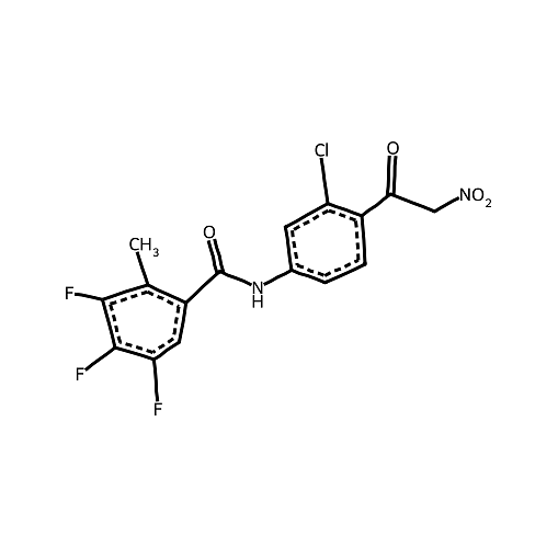 Cc1c(C(=O)Nc2ccc(C(=O)C[N+](=O)[O-])c(Cl)c2)cc(F)c(F)c1F